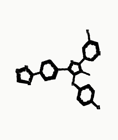 Cn1c(-c2cncc(F)c2)nc(-c2ccc(-c3ncon3)cc2)c1Sc1ccc(Cl)cc1